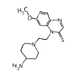 COc1ccc2ncc(=S)n(CCN3CCC(N)CC3)c2c1